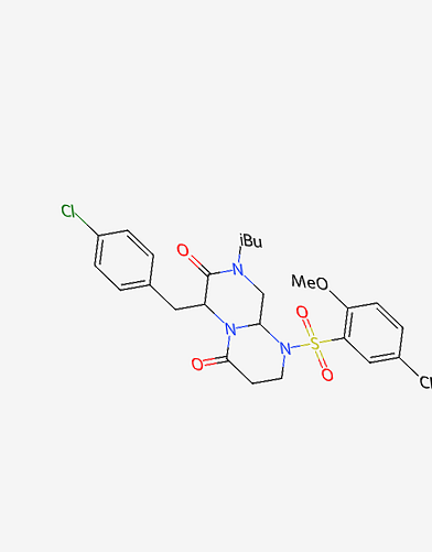 CCC(C)N1CC2N(C(=O)CCN2S(=O)(=O)c2cc(C)ccc2OC)C(Cc2ccc(Cl)cc2)C1=O